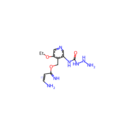 CCOc1cncc(NC(=O)NNN)c1COC(=N)/C=C\N